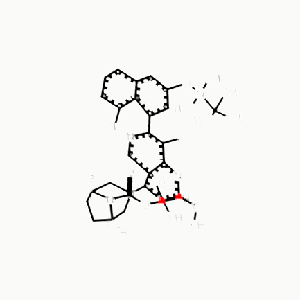 COc1nc(N2C[C@H]3CC[C@@H](C2)N3C(=O)OC(C)(C)C)c2cnc(-c3cc(O[Si](C)(C)C(C)(C)C)cc4cccc(Cl)c34)c(F)c2n1